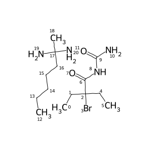 CCC(Br)(CC)C(=O)NC(N)=O.CCCCCC(C)(N)N